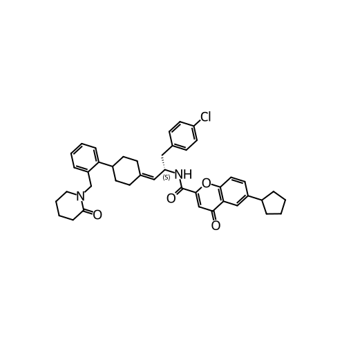 O=C(N[C@H](C=C1CCC(c2ccccc2CN2CCCCC2=O)CC1)Cc1ccc(Cl)cc1)c1cc(=O)c2cc(C3CCCC3)ccc2o1